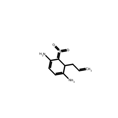 C=CCC1C(N)=CC=C(N)C1=S(=O)=O